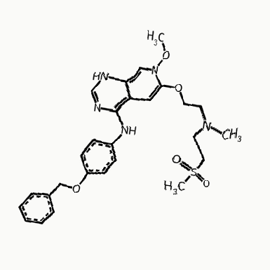 CON1C=C2NC=NC(Nc3ccc(OCc4ccccc4)cc3)=C2C=C1OCCN(C)CCS(C)(=O)=O